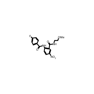 COCCNC(=O)c1cc([N+](=O)[O-])ccc1NC(=O)c1ccc(F)cc1